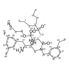 CCCC(CCC)S(=O)(=O)C[C@@H](NC(=O)OCCC#N)C(=O)N(Cc1cccc(CC)c1)C[C@@H](O)[C@@H](N)Cc1cc(F)cc(F)c1